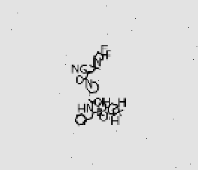 CC1(C)[C@@H]2C[C@H]3OB(C(Cc4ccccc4)NC(=O)C[C@H]4CCCN(C(=O)C(C#N)=CC(C)(C)N5CCC(F)(F)C5)C4)O[C@@]3(C)[C@H]1C2